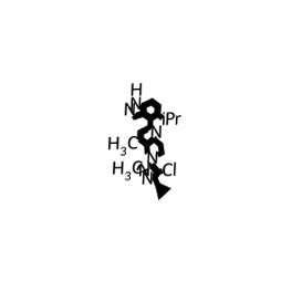 Cc1cc(-c2c(C(C)C)ccc3[nH]ncc23)nc2c1CN(c1c(Cl)c(C3CC3)nn1C)CC2